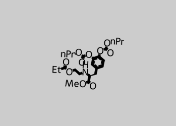 CCCOC(=O)Oc1ccc(C[C@H](NCCOC(=O)CC)C(=O)OC)cc1OC(=O)OCCC